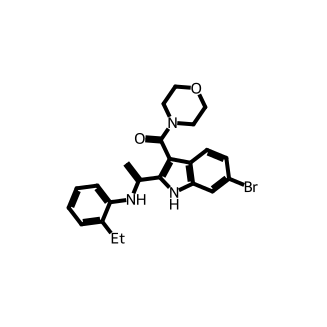 C=C(Nc1ccccc1CC)c1[nH]c2cc(Br)ccc2c1C(=O)N1CCOCC1